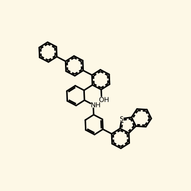 Oc1cccc(-c2ccc(-c3ccccc3)cc2)c1C1C=CC=CC1NC1C=C(c2cccc3c2sc2ccccc23)C=CC1